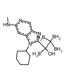 BC(B)(B)C(B)(O)c1nc2cnc(NC)cc2n1C1CCCCC1